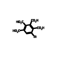 CCc1cc(C(=O)O)c(C(=O)O)c(C(=O)O)c1C(=O)O